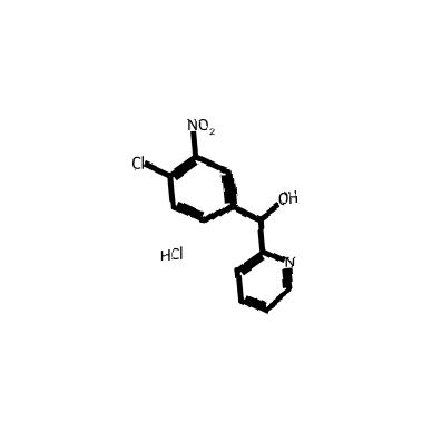 Cl.O=[N+]([O-])c1cc(C(O)c2ccccn2)ccc1Cl